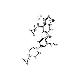 COc1cc(P2CCN(C3CC3)CC2)ccc1Nc1cc(NC2CC2)c2c(C(F)(F)F)c[nH]c2n1